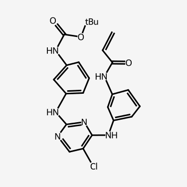 C=CC(=O)Nc1cccc(Nc2nc(Nc3cccc(NC(=O)OC(C)(C)C)c3)ncc2Cl)c1